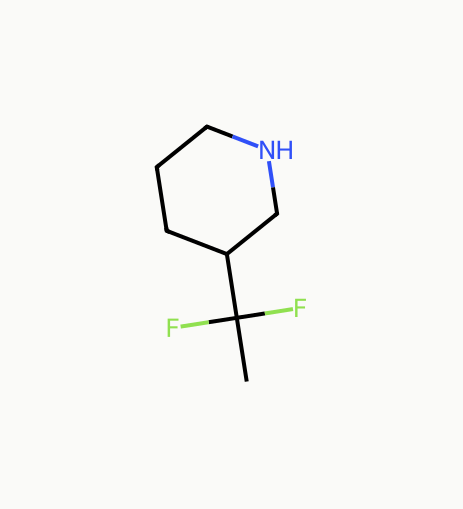 CC(F)(F)C1CCCNC1